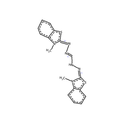 Cn1/c(=N\N=C\N/N=c2/sc3ccccc3n2C)sc2ccccc21